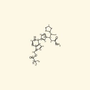 CC(C1CCCC1)C(CC(N)=O)n1cc(C2NC=Nc3c2ccn3COC(=O)C(C)(C)C)cn1